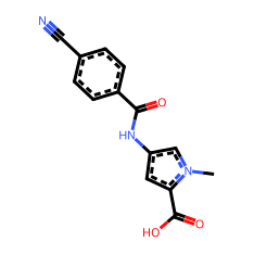 Cn1cc(NC(=O)c2ccc(C#N)cc2)cc1C(=O)O